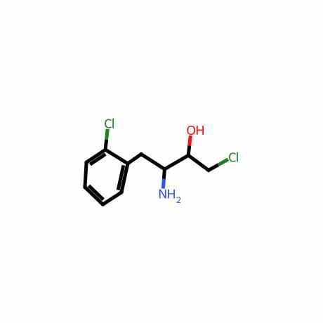 NC(Cc1ccccc1Cl)C(O)CCl